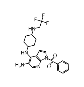 Nc1cnc2c(ccn2S(=O)(=O)c2ccccc2)c1NC1CCC(NCC(F)(F)F)CC1